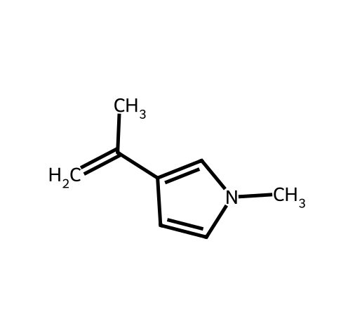 C=C(C)c1ccn(C)c1